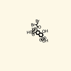 O=C(Nc1cc2c(O)cc(S(=O)(=O)O)cc2cc1S(=O)(=O)O)C(Br)CBr